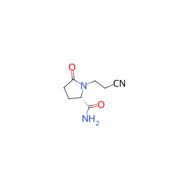 N#CCCN1C(=O)CC[C@H]1C(N)=O